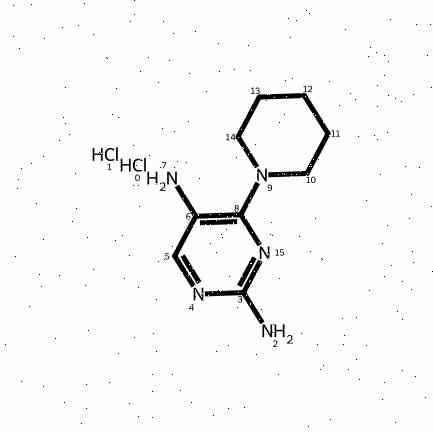 Cl.Cl.Nc1ncc(N)c(N2CCCCC2)n1